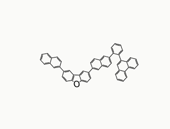 c1ccc(-c2cc3ccccc3c3ccccc23)c(-c2ccc3cc(-c4ccc5oc6ccc(-c7ccc8ccccc8c7)cc6c5c4)ccc3c2)c1